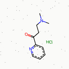 CN(C)CCC(=O)c1ccccn1.Cl